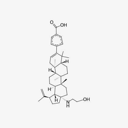 C=C(C)[C@@H]1CC[C@]2(NCCO)CC[C@]3(C)[C@H](CC[C@@H]4[C@@]5(C)CC=C(c6ccc(C(=O)O)cc6)C(C)(C)[C@@H]5CC[C@]43C)[C@@H]12